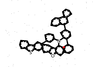 c1ccc(-c2ccc(-c3cc4ccccc4c4ccccc34)cc2N(c2cccc(-c3ccc4sc5ccccc5c4c3)c2)c2cccc3oc4ccccc4c23)cc1